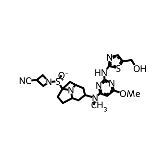 COc1cc(N(C)C2CC3CCC4([S+]([O-])N5CC(C#N)C5)CC(C2)N34)nc(Nc2ncc(CO)s2)n1